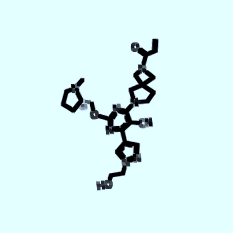 C=CC(=O)N1CC2(CCN(c3nc(OC[C@@H]4CCCN4C)nc(-c4cnn(CCO)c4)c3C#N)C2)C1